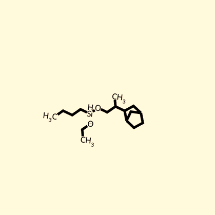 CCCC[SiH](OCC)OCC(C)C1CC2CCC1C2